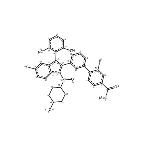 COC(=O)c1ccc(-c2cccc(-c3c(-c4c(C#N)cccc4C#N)c4cc(F)ccc4n3[S+]([O-])C3CCC(C(F)(F)F)CC3)c2)c(F)c1